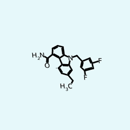 CCc1c[c]c2c3c(C(N)=O)cccc3n(Cc3cc(F)cc(F)c3)c2c1